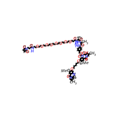 COc1cc2c(cc1OCCCCCOc1cc3c(cc1OC)C(=O)N1C=C(C)CC1C(O)N3C(=O)OCc1ccc(NC(=O)[C@H](C)NC(=O)[C@@H](NC(=O)CCOCCOCCOCCOCCOCCOCCOCCOCCNC(=O)CCN3C(=O)C=CC3=O)C(C)C)cc1)N=C[C@@H]1CC(C)=CN1C2=O